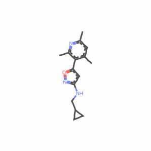 Cc1cc(C)c(-c2cc(NCC3CC3)no2)c(C)n1